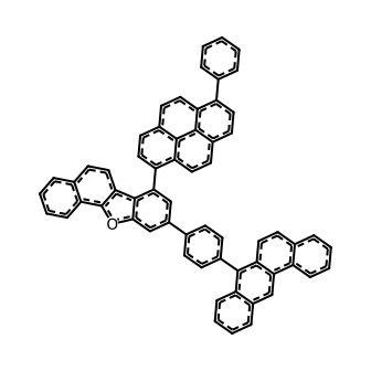 c1ccc(-c2ccc3ccc4c(-c5cc(-c6ccc(-c7c8ccccc8cc8c7ccc7ccccc78)cc6)cc6oc7c8ccccc8ccc7c56)ccc5ccc2c3c54)cc1